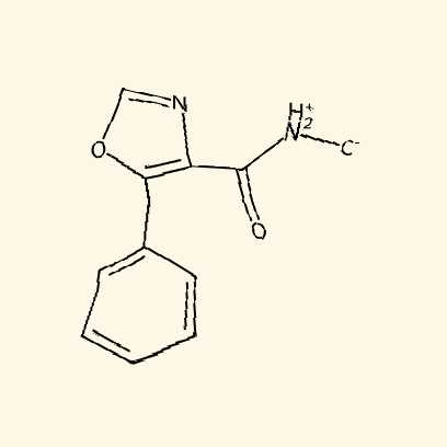 [CH2-][NH2+]C(=O)c1ncoc1-c1ccccc1